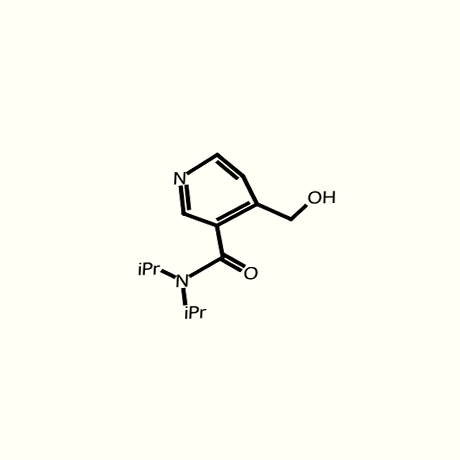 CC(C)N(C(=O)c1cnccc1CO)C(C)C